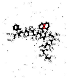 CC[C@H](N)C(=O)N[C@H](C(=O)N(C)[C@@H](CC(C)C)C(=O)N(C)[C@@H](C)C(=O)N(C)[C@@H](CC(C)C)C(=O)N[C@H](C(=O)N(C)[C@@H](Cc1ccccc1)C(=O)N(C)[C@@H](C)C(=O)N(C)[C@@H](CC(C)C)C(=O)N(C)[C@@H](Cc1ccccc1)C(=O)N[C@@H](CC(=O)O)C(=O)O)[C@@H](C)OC1CCCCO1)[C@@H](C)CC